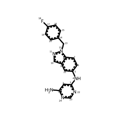 Nc1cc(Nc2ccc3c(cnn3Cc3ccc(F)cc3)c2)ncn1